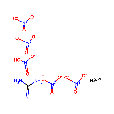 N=C(N)N.O=[N+]([O-])O.O=[N+]([O-])O.O=[N+]([O-])[O-].O=[N+]([O-])[O-].O=[N+]([O-])[O-].[Na+].[Sr+2]